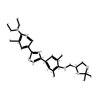 CCN(CC)c1ncc(-c2nc(-c3cc(C)c(OC[C@H]4COC(C)(C)O4)c(C)c3)no2)cc1C